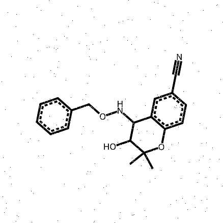 CC1(C)Oc2ccc(C#N)cc2C(NOCc2ccccc2)C1O